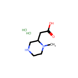 CN1CCNCC1CC(=O)O.Cl.Cl